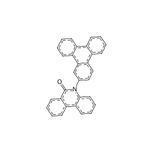 O=c1c2ccccc2c2ccccc2n1-c1ccc2c3ccccc3c3ccccc3c2c1